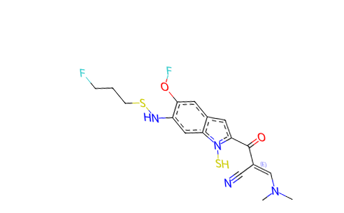 CN(C)/C=C(\C#N)C(=O)c1cc2cc(OF)c(NSCCCF)cc2n1S